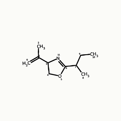 C=C(C)C1COC(C(C)CC)=N1